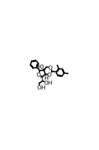 Cc1ccc(C2OC[C@@]3(O)C(c4ccccc4)O[C@H](C(O)CO)[C@@H]3O2)c(C)c1